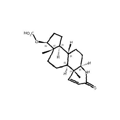 C[C@]12C=CC(=O)N[C@@H]1CC[C@@H]1[C@@H]2CC[C@]2(C)[C@@H](OC(=O)O)CC[C@@H]12